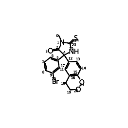 CN1C(=O)C(c2cccc(Br)c2)(c2ccc3c(c2)CCOO3)NC1=S